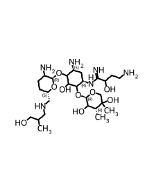 CC(CO)CNC[C@@H]1CCC(N)[C@@H](OC2C(O)C(O[C@H]3OCC(C)(O)[C@H](C)C3O)[C@H](NC(=N)C(O)CCN)C[C@@H]2N)O1